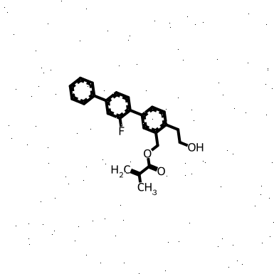 C=C(C)C(=O)OCc1cc(-c2ccc(-c3ccccc3)cc2F)ccc1CCO